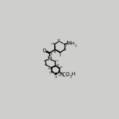 NC1CCC(C(=O)N2CCc3ccc(C(=O)O)cc3C2)CC1